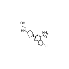 NC(=O)c1cc(N2CCC(NCCO)CC2)nc2ccc(Cl)cc12